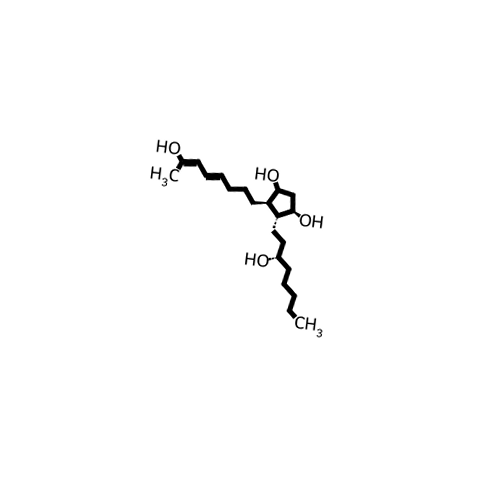 CCCCC[C@H](O)CC[C@H]1[C@H](O)CC(O)[C@@H]1CCC/C=C/C=C(\C)O